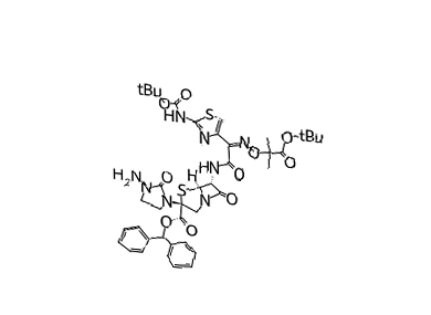 CC(C)(C)OC(=O)Nc1nc(/C(=N/OC(C)(C)C(=O)OC(C)(C)C)C(=O)N[C@@H]2C(=O)N3C[C@@](C(=O)OC(c4ccccc4)c4ccccc4)(N4CCN(N)C4=O)S[C@@H]23)cs1